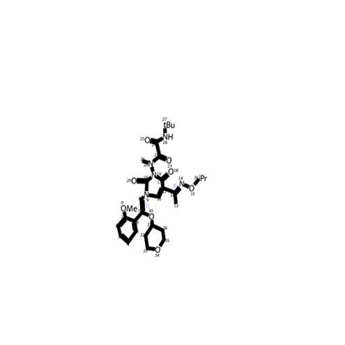 COc1ccccc1/C(=C/n1cc(/C(C)=N/OC(C)C)c(=O)n(N(C)C(=O)C(=O)NC(C)(C)C)c1=O)OC1CCOCC1